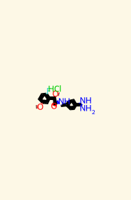 COc1ccc(F)c([C@H](OC)C(=O)NCc2ccc(C(=N)N)cc2)c1.Cl